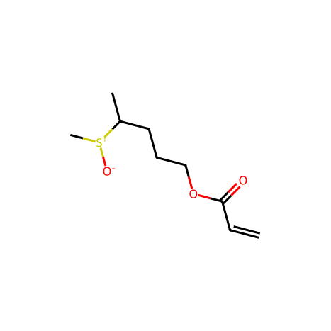 C=CC(=O)OCCCC(C)[S+](C)[O-]